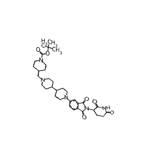 CC(C)(C)OC(=O)N1CCC(CN2CCC(C3CCN(c4ccc5c(c4)C(=O)N(C4CCC(=O)NC4=O)C5=O)CC3)CC2)CC1